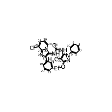 CCOc1nn(-c2ccccc2)c(NC(=O)Nc2c(-c3ccccc3)nc3c(Cl)cccn23)c1C